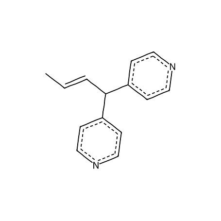 CC=CC(c1ccncc1)c1ccncc1